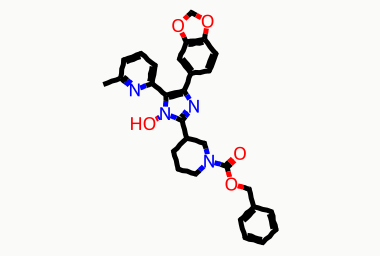 Cc1cccc(-c2c(-c3ccc4c(c3)OCO4)nc(C3CCCN(C(=O)OCc4ccccc4)C3)n2O)n1